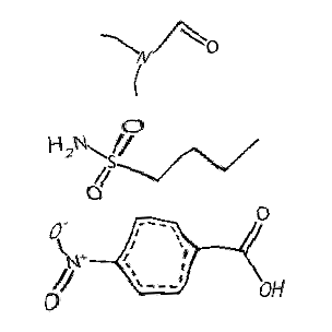 CCCCS(N)(=O)=O.CN(C)C=O.O=C(O)c1ccc([N+](=O)[O-])cc1